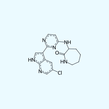 O=C1NCCCCC1Nc1ccnc(-c2c[nH]c3ncc(Cl)cc23)n1